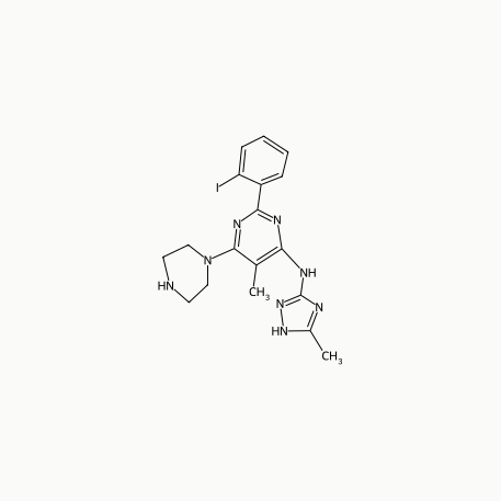 Cc1nc(Nc2nc(-c3ccccc3I)nc(N3CCNCC3)c2C)n[nH]1